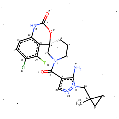 Nc1c(C(=O)N2CCC[C@@]3(C2)OC(=O)Nc2ccc(Cl)c(F)c23)cnn1CC1(C(F)(F)F)CC1